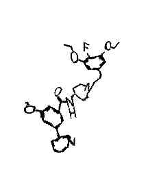 CCOc1cc(CN2CCC(NC(=O)c3cc(OC)cc(-c4cccnc4)c3)CC2)cc(OCC)c1F